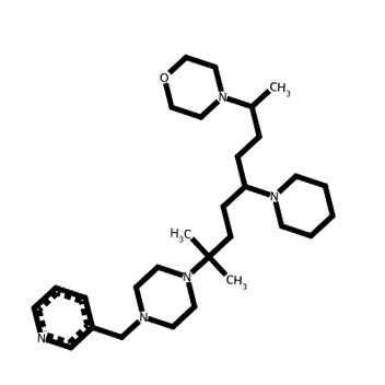 CC(CCC(CCC(C)(C)N1CCN(Cc2cccnc2)CC1)N1CCCCC1)N1CCOCC1